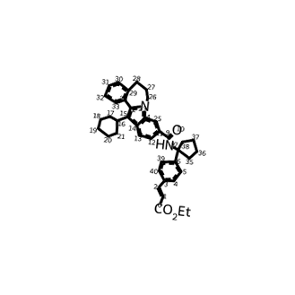 CCOC(=O)C=Cc1ccc(C2(NC(=O)c3ccc4c(C5CCCCC5)c5n(c4c3)CCCc3ccccc3-5)CCCC2)cc1